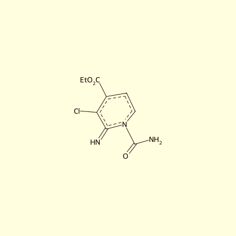 CCOC(=O)c1ccn(C(N)=O)c(=N)c1Cl